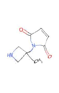 CC1(N2C(=O)C=CC2=O)CNC1